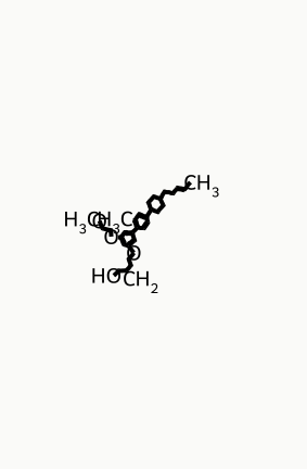 C=C(CO)CCOc1cc(OCCOC)cc(-c2ccc(C3CCC(CC/C=C/C)CC3)cc2C)c1